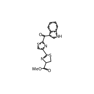 COC(=O)C1CSC(c2csc(C(=O)c3c[nH]c4ccccc34)n2)=N1